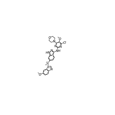 COc1ccc2c(c1)[C@@]1(C=N2)C[C@H]1c1ccc2c(Nc3nc(Cl)c(OC)c(N4CCOCC4)n3)n[nH]c2c1